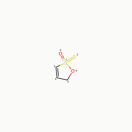 O=S1(=S)C=CCO1